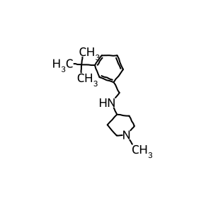 CN1CCC(NCc2cccc(C(C)(C)C)c2)CC1